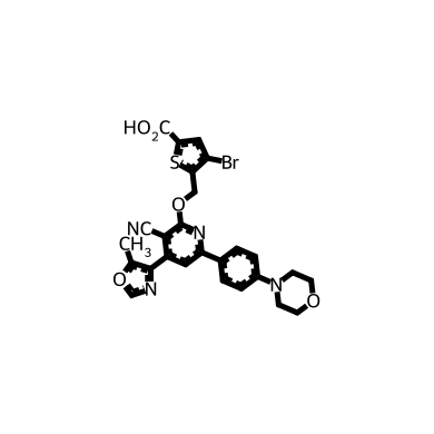 Cc1ocnc1-c1cc(-c2ccc(N3CCOCC3)cc2)nc(OCc2sc(C(=O)O)cc2Br)c1C#N